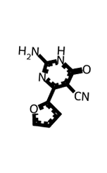 N#Cc1c(-c2ccco2)nc(N)[nH]c1=O